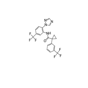 O=C(Nc1cc(C(F)(F)F)ccc1-n1cncn1)C1(c2cccc(C(F)(F)F)c2)CC1